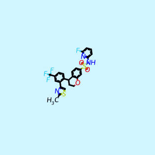 Cc1nc(-c2cc(C(F)(F)F)ccc2C2CCOc3cc(S(=O)(=O)Nc4cccc(F)n4)ccc32)cs1